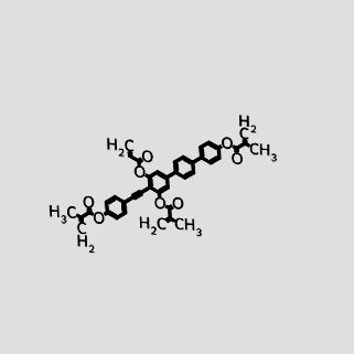 C=CC(=O)Oc1cc(-c2ccc(-c3ccc(OC(=O)C(=C)C)cc3)cc2)cc(OC(=O)C(=C)C)c1C#Cc1ccc(OC(=O)C(=C)C)cc1